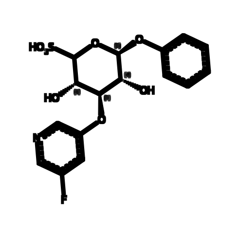 O=S(=O)(O)C1O[C@@H](Oc2ccccc2)[C@H](O)[C@@H](Oc2cncc(F)c2)[C@@H]1O